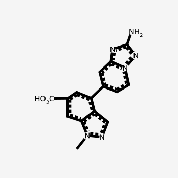 Cn1ncc2c(-c3ccn4nc(N)nc4c3)cc(C(=O)O)cc21